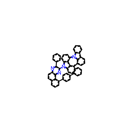 c1ccc(-c2ccc(-c3cccc4ccc5nc(-c6ccccc6)c(-n6c7cccc8c9cccc%10c%11ccccc%11n(c%11cccc6c%11c87)c9%10)nc5c34)cc2)cc1